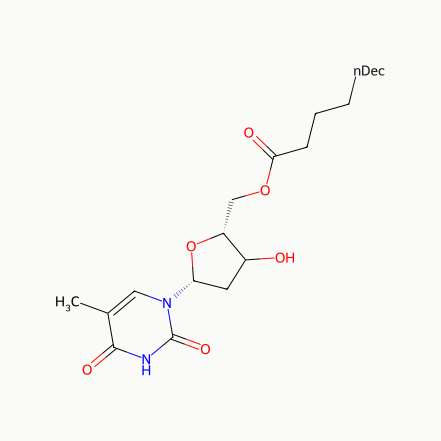 CCCCCCCCCCCCCC(=O)OC[C@H]1O[C@@H](n2cc(C)c(=O)[nH]c2=O)CC1O